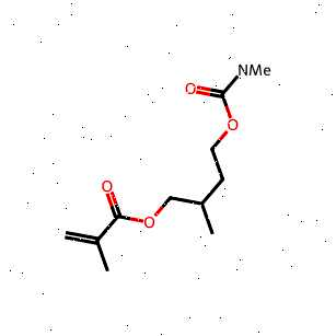 C=C(C)C(=O)OCC(C)CCOC(=O)NC